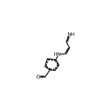 N=C/C=C\Nc1ccc(C=O)cc1